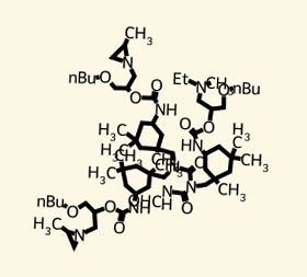 CCCCOCC(CN(C)CC)OC(=O)NC1CC(C)(C)CC(C)(CN(C(=O)NC=O)C(=O)N(CC2(C)CC(NC(=O)OC(COCCCC)CN3CC3C)CC(C)(C)C2)CC2(C)CC(NC(=O)OC(COCCCC)CN3CC3C)CC(C)(C)C2)C1